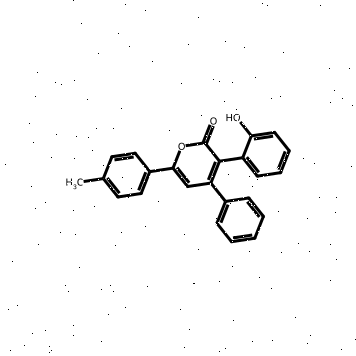 Cc1ccc(-c2cc(-c3ccccc3)c(-c3ccccc3O)c(=O)o2)cc1